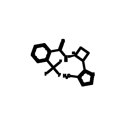 Cc1ccsc1C1CC[C@H]1NC(=O)c1ccccc1C(F)(F)F